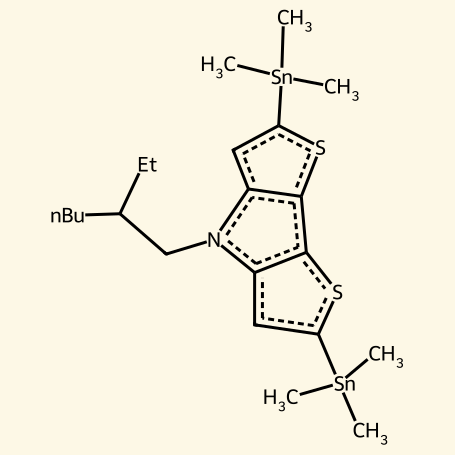 CCCCC(CC)Cn1c2c[c]([Sn]([CH3])([CH3])[CH3])sc2c2s[c]([Sn]([CH3])([CH3])[CH3])cc21